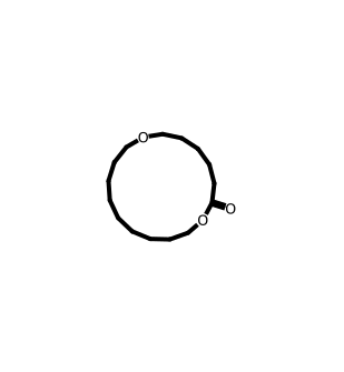 O=C1CCCCCOCCCCCCCCCO1